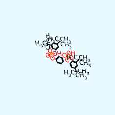 CC(C)(C)c1ccc(OP(=O)(O)Oc2cccc(OP(=O)(O)Oc3ccc(C(C)(C)C)cc3C(C)(C)C)c2)c(C(C)(C)C)c1